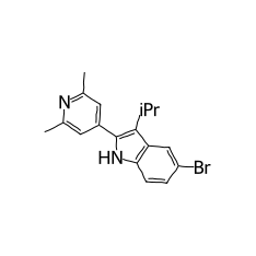 Cc1cc(-c2[nH]c3ccc(Br)cc3c2C(C)C)cc(C)n1